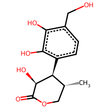 C[C@@H]1COC(=O)[C@@H](O)[C@H]1c1ccc(CO)c(O)c1O